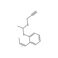 C#CCSC(C)Sc1ccccc1/C=C\C